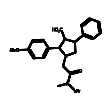 CCCN(C)C(=O)CN1CC(c2ccccc2)C(C(=O)O)C1c1ccc(OC)cc1